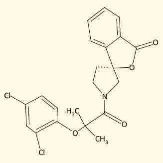 CC(C)(Oc1ccc(Cl)cc1Cl)C(=O)N1CC[C@@]2(C1)OC(=O)c1ccccc12